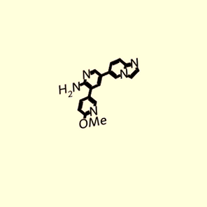 COc1ccc(-c2cc(-c3ccc4nccn4c3)cnc2N)cn1